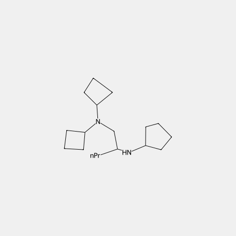 CCCC(CN(C1CCC1)C1CCC1)NC1CCCC1